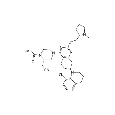 C=CC(=O)N1CCN(c2nc(OCC3CCCN3C)nc3c2CC[C@H](N2CCCc4cccc(Cl)c42)C3)C[C@@H]1CC#N